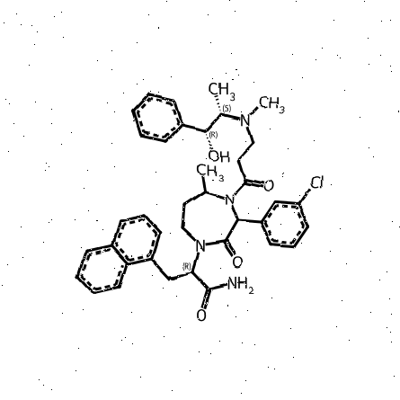 CC1CCN([C@H](Cc2cccc3ccccc23)C(N)=O)C(=O)C(c2cccc(Cl)c2)N1C(=O)CCN(C)[C@@H](C)[C@H](O)c1ccccc1